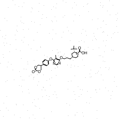 Cc1c(OCCC[C@@H]2CCN(C(=O)O)[C@@H](C(C)(C)C)C2)ncnc1Oc1ccc(C2COS(=O)OC2)cc1